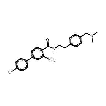 CN(C)Cc1ccc(CCNC(=O)c2ccc(-c3ccc(Cl)cc3)cc2[N+](=O)[O-])cc1